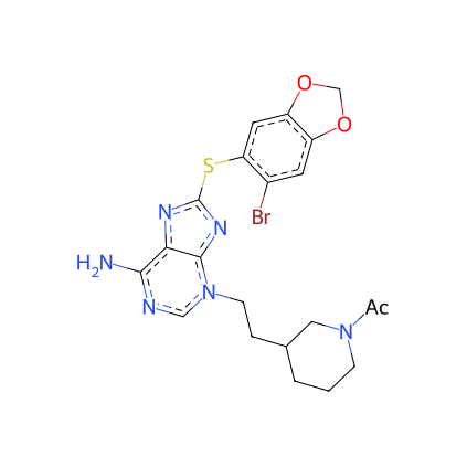 CC(=O)N1CCCC(CCn2cnc(N)c3nc(Sc4cc5c(cc4Br)OCO5)nc2-3)C1